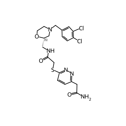 NC(=O)Cc1ccc(SCC(=O)NC[C@H]2CN(Cc3ccc(Cl)c(Cl)c3)CCO2)nn1